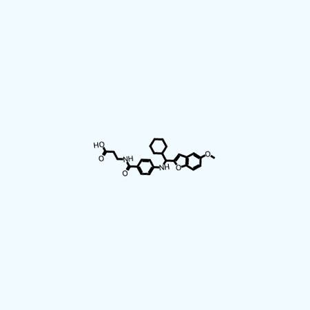 COc1ccc2oc(C(Nc3ccc(C(=O)NCCC(=O)O)cc3)C3CCCCC3)cc2c1